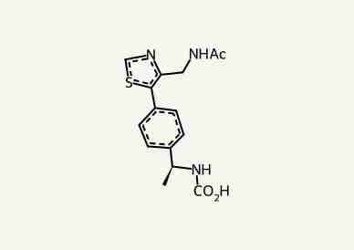 CC(=O)NCc1ncsc1-c1ccc([C@H](C)NC(=O)O)cc1